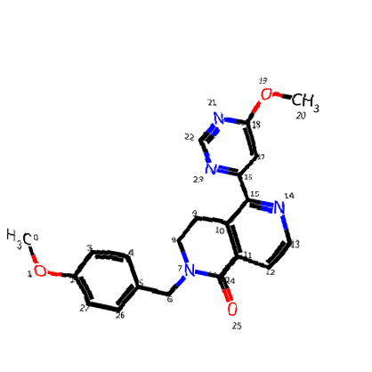 COc1ccc(CN2CCc3c(ccnc3-c3cc(OC)ncn3)C2=O)cc1